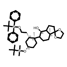 CC(C)(C)[Si](C)(C)O[C@H]1CC[C@](C)(C2CC[C@@]3(C)C(CCC34OCCO4)[C@@H]2O)[C@@H](CCO[Si](c2ccccc2)(c2ccccc2)C(C)(C)C)C1